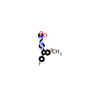 CSc1ccc2c(c1)[C@@H](N1CCN(CCN3CCOC3=O)CC1)C[C@@H]2c1ccc(F)cc1